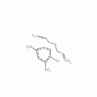 C=CCOCC=C.O=[N+]([O-])c1ccc(O)c([N+](=O)[O-])c1